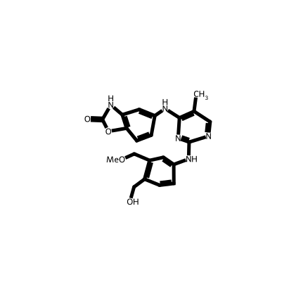 COCc1cc(Nc2ncc(C)c(Nc3ccc4oc(=O)[nH]c4c3)n2)ccc1CO